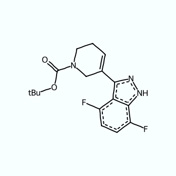 CC(C)(C)OC(=O)N1CCC=C(c2n[nH]c3c(F)ccc(F)c23)C1